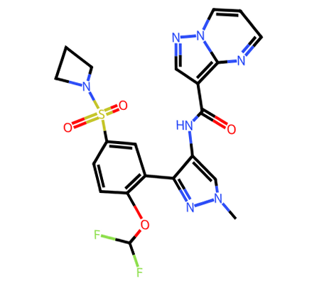 Cn1cc(NC(=O)c2cnn3cccnc23)c(-c2cc(S(=O)(=O)N3CCC3)ccc2OC(F)F)n1